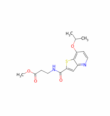 COC(=O)CCNC(=O)c1cc2nccc(OC(C)C)c2s1